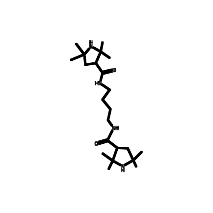 CC1(C)CC(C(=O)NCCCCNC(=O)C2CC(C)(C)NC2(C)C)C(C)(C)N1